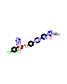 CC[C@@H](C)n1ncn(-c2ccc(N3CCN(c4ccc(OC[C@@H]5CO[C@@](Cn6cncn6)(c6ccc(Cl)cc6Cl)O5)cc4)CC3)cn2)c1=O